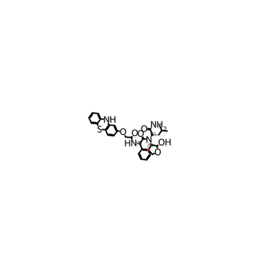 CC(C)C[C@@H](C(N)=O)N(C(=O)[C@@H](NC(=O)COc1ccc2c(c1)Nc1ccccc1S2)c1ccccc1)[C@H]1CCOC1O